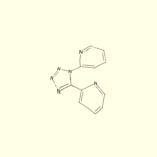 c1ccc(-c2nnnn2-c2ccccn2)nc1